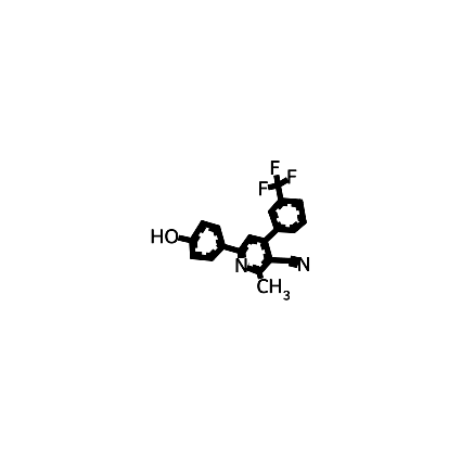 Cc1nc(-c2ccc(O)cc2)cc(-c2cccc(C(F)(F)F)c2)c1C#N